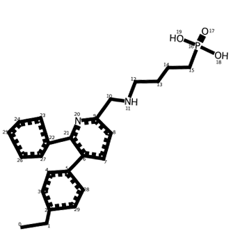 CCc1ccc(-c2ccc(CNCCCCP(=O)(O)O)nc2-c2ccccc2)cc1